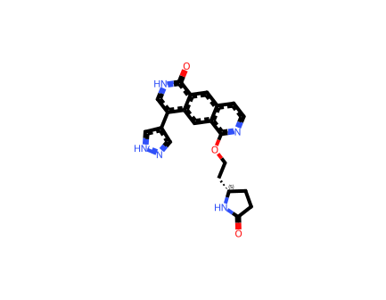 O=C1CC[C@@H](CCOc2nccc3cc4c(=O)[nH]cc(-c5cn[nH]c5)c4cc23)N1